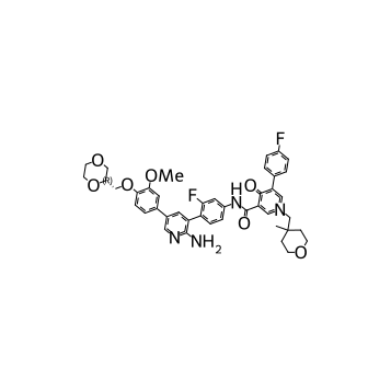 COc1cc(-c2cnc(N)c(-c3ccc(NC(=O)c4cn(CC5(C)CCOCC5)cc(-c5ccc(F)cc5)c4=O)cc3F)c2)ccc1OC[C@H]1COCCO1